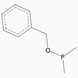 CP(C)OCc1ccccc1